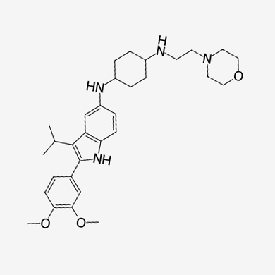 COc1ccc(-c2[nH]c3ccc(NC4CCC(NCCN5CCOCC5)CC4)cc3c2C(C)C)cc1OC